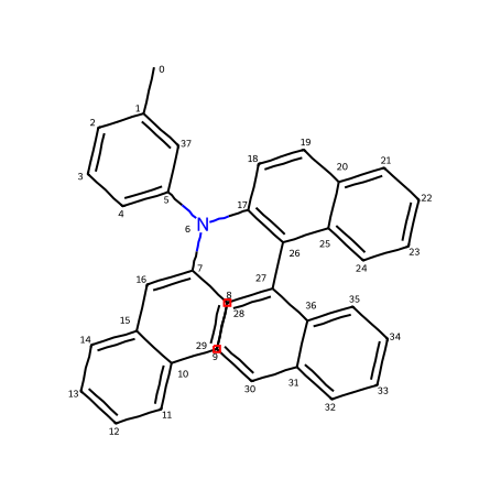 Cc1cccc(N(c2ccc3ccccc3c2)c2ccc3ccccc3c2-c2cccc3ccccc23)c1